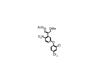 COCC(=NOOC(C)=O)c1cc(Oc2ccc(C(F)(F)F)cc2Cl)ccc1[N+](=O)[O-]